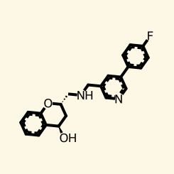 O[C@@H]1C[C@@H](CNCc2cncc(-c3ccc(F)cc3)c2)Oc2ccccc21